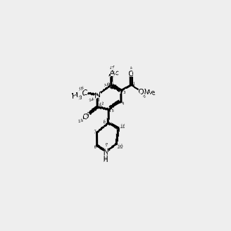 COC(=O)c1cc(C2CCNCC2)c(=O)n(C)c1C(C)=O